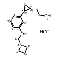 Cl.OCC[C@H]1C[C@@H]1c1cncc(OCN2CCC2)c1